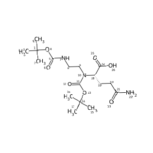 CC(C)(C)OC(=O)NCCN(C(=O)OC(C)(C)C)[C@@H](CCC(N)=O)C(=O)O